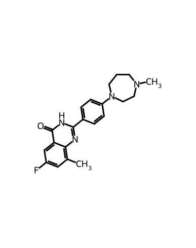 Cc1cc(F)cc2c(=O)[nH]c(-c3ccc(N4CCCN(C)CC4)cc3)nc12